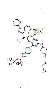 C=Cc1cc2c(N3CCC4(CC3)CN(C(=O)OC(C)(C)C)C4)nc(OC3CCN(CCOCC4CC4)CC3)nc2c(OCC(F)(F)F)c1-c1c(C)ccc2c1cnn2C1CCCCO1